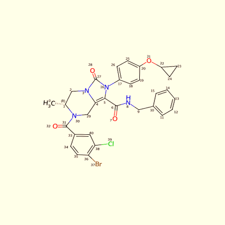 C[C@@H]1Cn2c(c(C(=O)NCc3ccccc3)n(-c3ccc(OC4CC4)cc3)c2=O)CN1C(=O)c1ccc(Br)c(Cl)c1